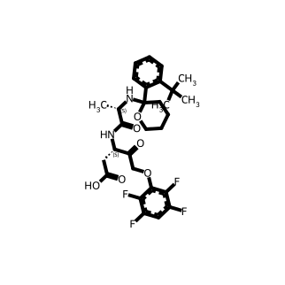 C[C@H](NC1(c2ccccc2C(C)(C)C)CCCCO1)C(=O)N[C@@H](CC(=O)O)C(=O)COc1c(F)c(F)cc(F)c1F